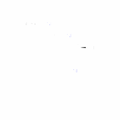 CCCCCCNC(=O)N[C@@H](C)C(=O)NCC(=O)O